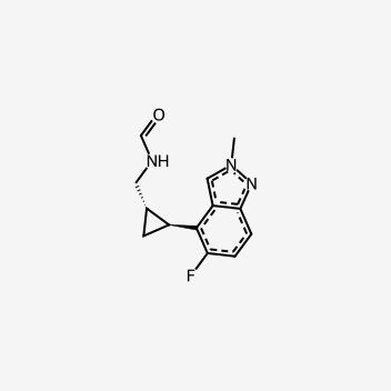 Cn1cc2c([C@H]3C[C@@H]3CNC=O)c(F)ccc2n1